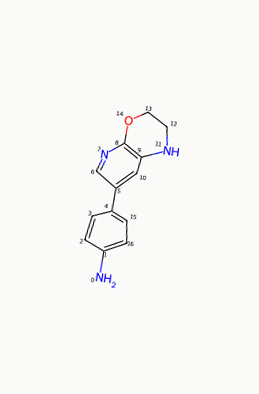 Nc1ccc(-c2cnc3c(c2)NCCO3)cc1